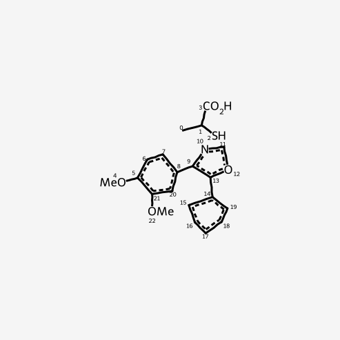 CC(S)C(=O)O.COc1ccc(-c2ncoc2-c2ccccc2)cc1OC